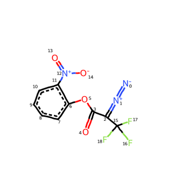 [N-]=[N+]=C(C(=O)Oc1ccccc1[N+](=O)[O-])C(F)(F)F